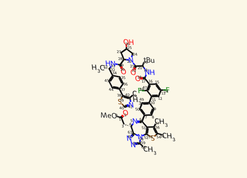 COC(=O)C[C@@H]1N=C(c2ccc(-c3cc(F)cc(C(=O)NC(C(=O)N4CC(O)CC4C(=O)N[C@@H](C)c4ccc(-c5scnc5C)cc4)C(C)(C)C)c3F)cc2)c2c(sc(C)c2C)-n2c(C)nnc21